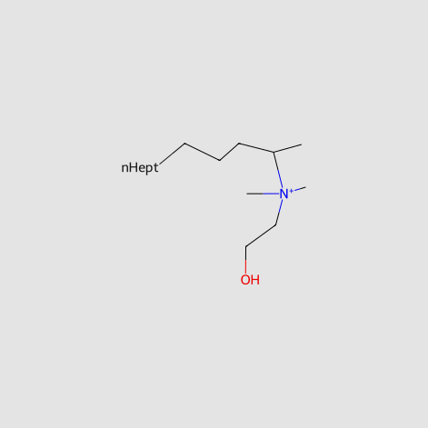 CCCCCCCCCCC(C)[N+](C)(C)CCO